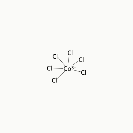 [Cl][Co-3]([Cl])([Cl])([Cl])([Cl])[Cl]